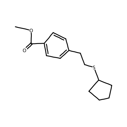 COC(=O)c1ccc(CCSC2CCCC2)cc1